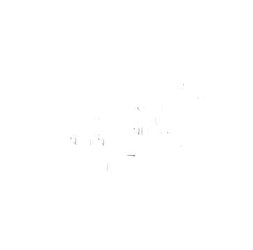 CC(C)C[C@H](NC(=O)C(NC(=O)c1cccc(-c2ccccc2)n1)[C@@H](C)O)B1OC(=O)C[C@@H](C(=O)OC(C)C)O1